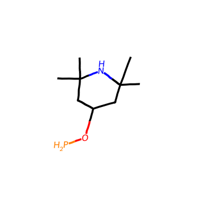 CC1(C)CC(OP)CC(C)(C)N1